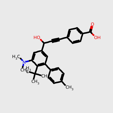 Cc1ccc(-c2cc(C(O)C#Cc3ccc(C(=O)O)cc3)cc(N(C)C)c2C(C)(C)C)cc1